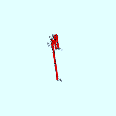 C=C(C)C(=O)OCCCCCCCCCCCCCCCCCC.C=C(C=CC(=O)O)C(=O)OC1CC2CCC1(C)C2(C)C.C=CC(=O)OCCCCCCCCCCCCCCCCCC.C=CC(=O)OCCCCCCCCCCCCCCCCCCCCCCCCCCCCCCCCCCCCCCCCCCCCCCCCCC